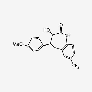 COc1ccc([C@@H]2Cc3cc(C(F)(F)F)ccc3NC(=O)[C@@H]2O)cc1